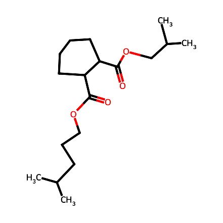 CC(C)CCCOC(=O)C1CCCCC1C(=O)OCC(C)C